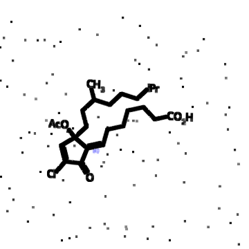 CC(=O)OC1(CCC(C)CCCC(C)C)C=C(Cl)C(=O)/C1=C/CCCCCC(=O)O